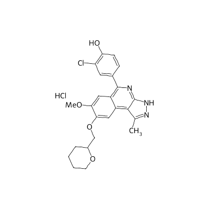 COc1cc2c(-c3ccc(O)c(Cl)c3)nc3[nH]nc(C)c3c2cc1OCC1CCCCO1.Cl